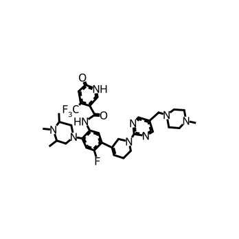 CC1CN(c2cc(F)c(C3=CCCN(c4ncc(CN5CCN(C)CC5)cn4)C3)cc2NC(=O)c2c[nH]c(=O)cc2C(F)(F)F)CC(C)N1C